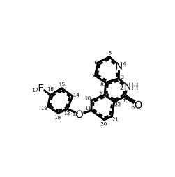 O=c1[nH]c2ncccc2c2cc(Oc3ccc(F)cc3)ccc12